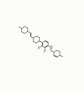 CC1C=CC(COc2ccc(C3CCC(/C=C/C4CCC(C)CC4)CC3)c(F)c2F)CC1